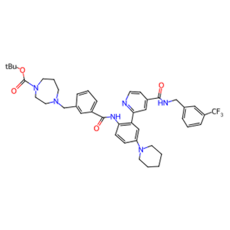 CC(C)(C)OC(=O)N1CCCN(Cc2cccc(C(=O)Nc3ccc(N4CCCCC4)cc3-c3cc(C(=O)NCc4cccc(C(F)(F)F)c4)ccn3)c2)CC1